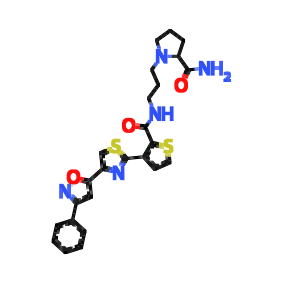 NC(=O)C1CCCN1CCCNC(=O)c1sccc1-c1nc(-c2cc(-c3ccccc3)no2)cs1